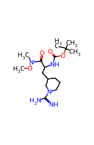 CON(C)C(=O)C(CC1CCCN(C(=N)N)C1)NC(=O)OC(C)(C)C